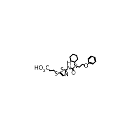 O=C(O)CCSc1cnc(NC(=O)N(CCOc2ccccc2)C2CCCCC2)s1